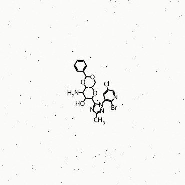 Cc1nc(C2OC3COC(c4ccccc4)OC3C(N)C2O)n(-c2cc(Cl)cnc2Br)n1